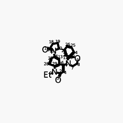 CCn1c(=O)cc(N2CCOCC2)c2cc(N3C(=O)CC[C@H]3c3ccccc3)ccc21